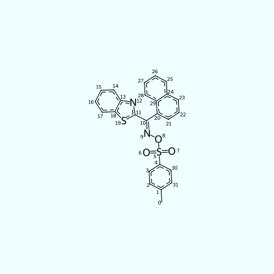 Cc1ccc(S(=O)(=O)O/N=C(/c2nc3ccccc3s2)c2cccc3ccccc23)cc1